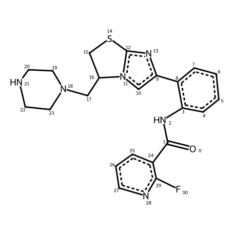 O=C(Nc1ccccc1-c1cn2c(n1)SCC2CN1CCNCC1)c1cccnc1F